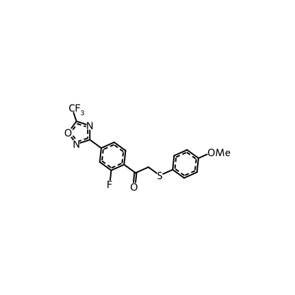 COc1ccc(SCC(=O)c2ccc(-c3noc(C(F)(F)F)n3)cc2F)cc1